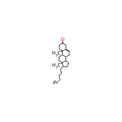 CC(C)CCCCC1CCC2C3CC=C4CC(=O)CCC4(C)C3CCC12C